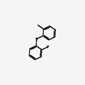 Cc1ccccc1Sc1ccccc1F